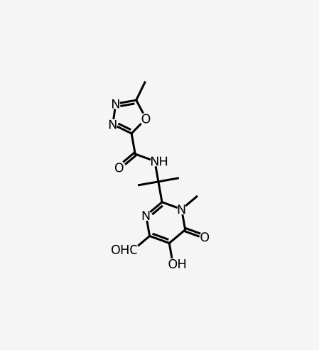 Cc1nnc(C(=O)NC(C)(C)c2nc(C=O)c(O)c(=O)n2C)o1